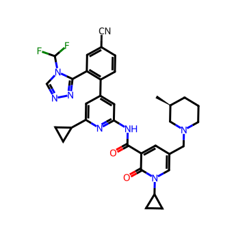 C[C@H]1CCCN(Cc2cc(C(=O)Nc3cc(-c4ccc(C#N)cc4-c4nncn4C(F)F)cc(C4CC4)n3)c(=O)n(C3CC3)c2)C1